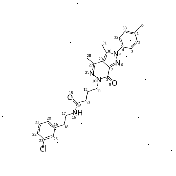 Cc1ccc(-n2nc3c(=O)n(CCCC(=O)NCCc4cccc(Cl)c4)nc(C)c3c2C)cc1